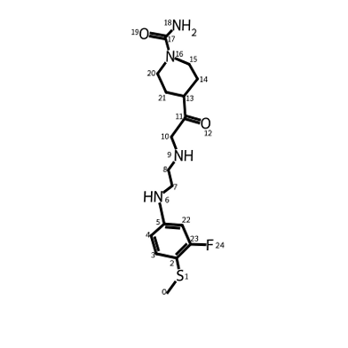 CSc1ccc(NCCNCC(=O)C2CCN(C(N)=O)CC2)cc1F